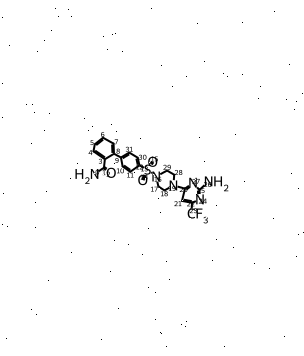 NC(=O)c1ccccc1-c1ccc(S(=O)(=O)N2CCN(c3cc(C(F)(F)F)nc(N)n3)CC2)cc1